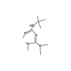 C/N=C(\N=C(N(C)C)N(C)C)NC(C)(C)C